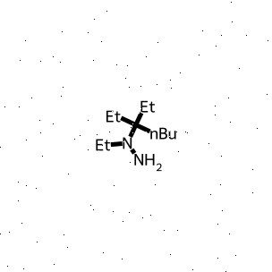 CCCCC(CC)(CC)N(N)CC